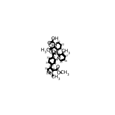 COC(=O)c1c(-c2ccc(C(=O)N(c3ncccc3C)[C@@H]3CCCN(C(=O)O)C3C(C)(C)C)cc2)cnn1C